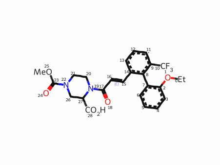 CCOc1ccccc1-c1c(C(F)(F)F)[c]ccc1/C=C/C(=O)N1CCN(C(=O)OC)CC1C(=O)O